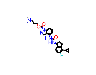 CN(C)CCCOC(=O)n1ncc2c(NC(=O)NC3CCc4c3ccc(F)c4C3CC3)cccc21